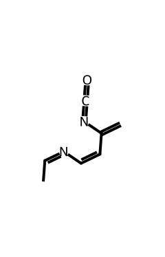 C=C(/C=C\N=C/C)N=C=O